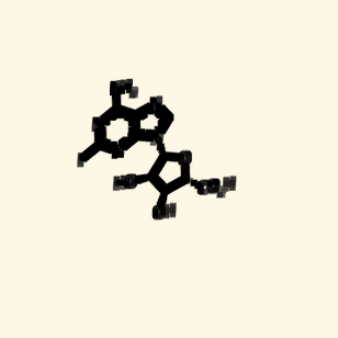 Nc1nc(I)nc2c1ncn2[C@@H]1O[C@H](C(=O)O)[C@@H](O)[C@H]1O